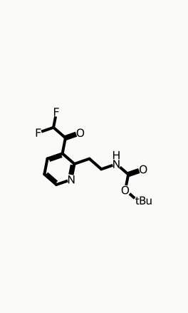 CC(C)(C)OC(=O)NCCc1ncccc1C(=O)C(F)F